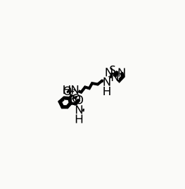 CNC(=O)c1ccccc1S(=O)(=O)NCCCCCCNc1nsc2nccn12